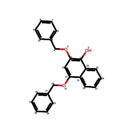 Oc1c(OCc2ccccc2)cc(OCc2ccccc2)c2ccccc12